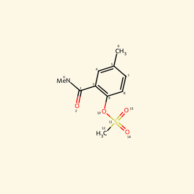 CNC(=O)c1cc(C)ccc1OS(C)(=O)=O